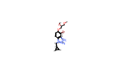 COCC(COc1ccc2c(c1Br)NNN2CC1CC1)OC